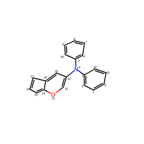 c1ccc(N(c2ccccc2)c2coc3cccc-3c2)cc1